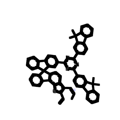 C=Cc1oc2c3c(ccc2c1/C=C\C)C1(c2ccccc2-c2ccc(-c4nc(-c5ccc6c(c5)C(C)(C)c5ccccc5-6)nc(-c5ccc6c(c5)C(C)(C)c5ccccc5-6)n4)cc21)c1ccccc1-3